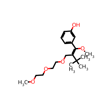 COCCOCCOCC(=C(OC)c1cccc(O)c1)C(C)(C)C